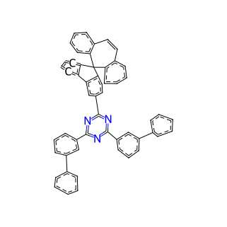 C1=Cc2ccccc2C2(c3ccccc31)c1ccccc1-c1cc(-c3nc(-c4cccc(-c5ccccc5)c4)nc(-c4cccc(-c5ccccc5)c4)n3)ccc12